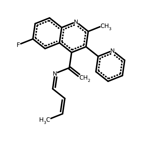 C=C(/N=C\C=C/C)c1c(-c2ccccn2)c(C)nc2ccc(F)cc12